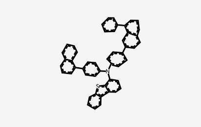 c1ccc(-c2cccc3ccc(-c4ccc(N(c5ccc(-c6cccc7ccccc67)cc5)c5cccc6c5sc5ccccc56)cc4)cc23)cc1